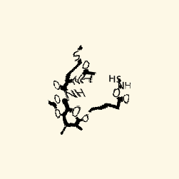 CSCCC(NC(C)=O)C(=O)NCC1OC(OCCCCC(=O)ONS)C(C)[C@@H](C)[C@H]1OC(C)=O